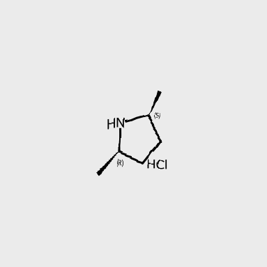 C[C@@H]1CC[C@H](C)N1.Cl